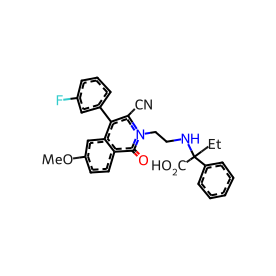 CCC(NCCn1c(C#N)c(-c2cccc(F)c2)c2cc(OC)ccc2c1=O)(C(=O)O)c1ccccc1